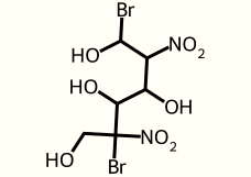 O=[N+]([O-])C(C(O)Br)C(O)C(O)C(Br)(CO)[N+](=O)[O-]